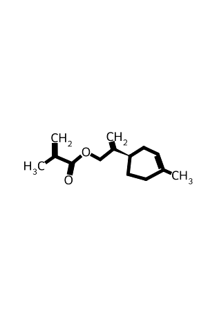 C=C(C)C(=O)OCC(=C)[C@H]1CC=C(C)CC1